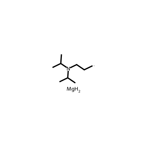 [CH2]CCN(C(C)C)C(C)C.[MgH2]